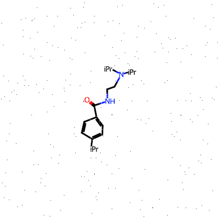 CC(C)c1ccc(C(=O)NCCN(C(C)C)C(C)C)cc1